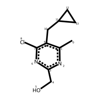 Cc1nc(CO)nc(Cl)c1CC1CC1